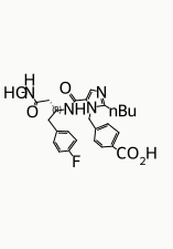 CCCCc1ncc(C(=O)N[C@@H](CC(=O)NO)Cc2ccc(F)cc2)n1Cc1ccc(C(=O)O)cc1